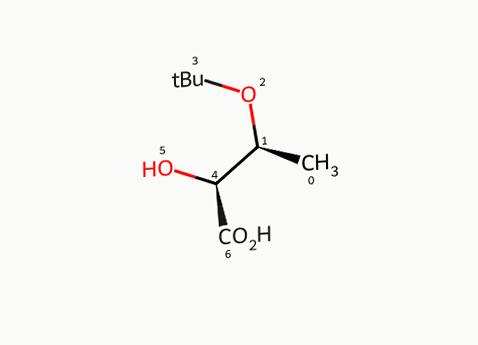 C[C@H](OC(C)(C)C)[C@H](O)C(=O)O